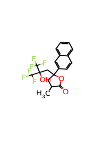 CC1CC(CC(O)(C(F)(F)F)C(F)(F)F)(c2ccc3ccccc3c2)OC1=O